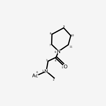 CC(=O)N(C)CC(=O)N1CCCCC1